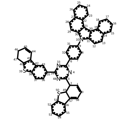 C1=CC(c2nc(-c3ccc(-n4c5ccc6ccccc6c5c5c6ccccc6ccc54)cc3)nc(-c3ccc4sc5c(c4c3)C=CCC5)n2)C2Sc3ccccc3C2=C1